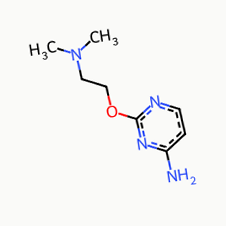 CN(C)CCOc1nccc(N)n1